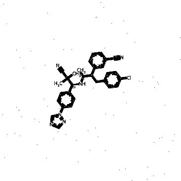 CC(N[C@@H](c1ccc(-n2cncn2)cc1)C(C)(C)C#N)C(Cc1ccc(Cl)cc1)c1cccc(C#N)c1